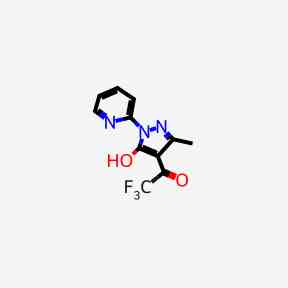 Cc1nn(-c2ccccn2)c(O)c1C(=O)C(F)(F)F